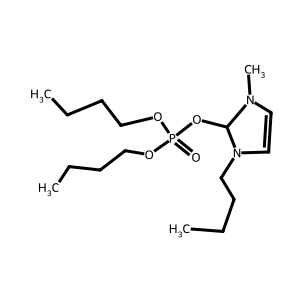 CCCCOP(=O)(OCCCC)OC1N(C)C=CN1CCCC